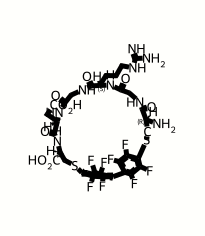 N=C(N)NCCC[C@@H]1NC(=O)CNC(=O)[C@@H](N)CSc2c(F)c(F)c(c(F)c2F)-c2c(F)c(F)c(c(F)c2F)SC[C@@H](C(=O)O)NC(=O)[C@H](CC(=O)O)NC(=O)CNC1=O